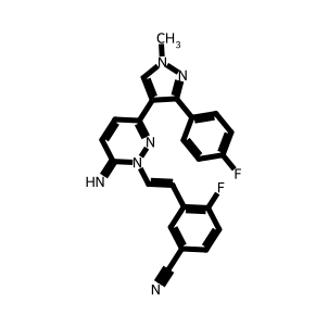 Cn1cc(-c2ccc(=N)n(/C=C/c3cc(C#N)ccc3F)n2)c(-c2ccc(F)cc2)n1